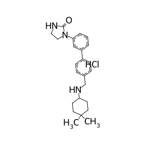 CC1(C)CCC(NCc2ccc(-c3cccc(N4CCNC4=O)c3)cc2)CC1.Cl